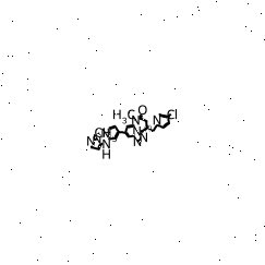 CN1C(=O)C[C@@H](Cc2ccc(Cl)cn2)c2nnc3cc(-c4ccnc(Nc5ccnn5C)c4)cc1n23